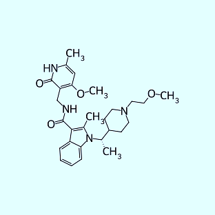 COCCN1CCC([C@H](C)n2c(C)c(C(=O)NCc3c(OC)cc(C)[nH]c3=O)c3ccccc32)CC1